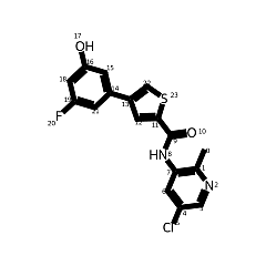 Cc1ncc(Cl)cc1NC(=O)c1cc(-c2cc(O)cc(F)c2)cs1